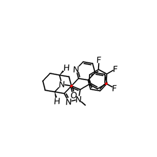 Cn1nc2c(c1-c1cc(F)c(F)c(F)c1)C[C@H]1CCC[C@@H]2N1C(=O)c1nccc2ccccc12